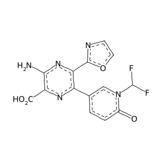 Nc1nc(-c2ncco2)c(-c2ccc(=O)n(C(F)F)c2)nc1C(=O)O